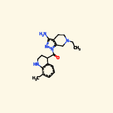 CCN1CCc2c(N)nn(C(=O)C3CCNc4c(C)cccc43)c2C1